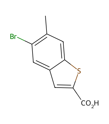 Cc1cc2sc(C(=O)O)cc2cc1Br